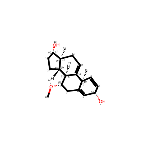 CO[C@H]1CC2=C[C@@H](O)C=C[C@]2(C)C2=CC[C@]3(C)[C@@H](O)CC[C@H]3[C@@H]21